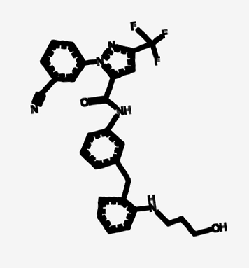 N#Cc1cccc(-n2nc(C(F)(F)F)cc2C(=O)Nc2cccc(Cc3ccccc3NCCCO)c2)c1